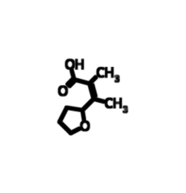 CC(C(=O)O)=C(C)C1CCCO1